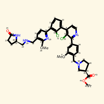 COc1cc(-c2nccc(-c3cccc(-c4ccc(CNC[C@H]5CCC(=O)N5)c(OC)n4)c3Cl)c2Cl)ccc1CN1CC[C@@H](C(=O)OC(C)C)C1